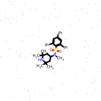 CC(C)c1cc(C(C)C)c(S(=O)(=O)N(C)C2CC(C)(C)NC(C)(C)C2)c(C(C)C)c1